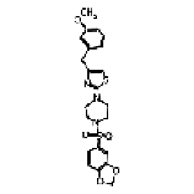 COc1cccc(Cc2csc(N3CCN(S(=O)(=O)c4ccc5c(c4)OCO5)CC3)n2)c1